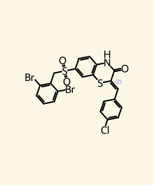 O=C1Nc2ccc(S(=O)(=O)Cc3c(Br)cccc3Br)cc2S/C1=C\c1ccc(Cl)cc1